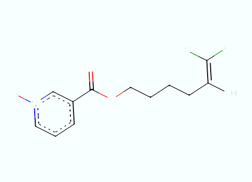 CC(CCCCOC(=O)c1ccc[n+]([O-])c1)=C(F)F